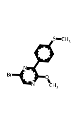 COc1ncc(Br)nc1-c1ccc(SC)cc1